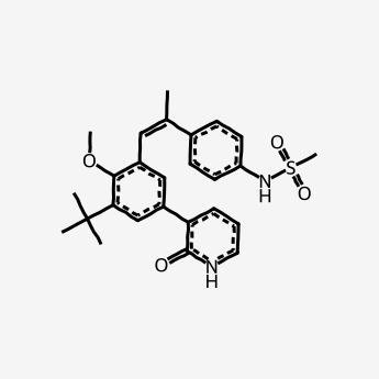 COc1c(C=C(C)c2ccc(NS(C)(=O)=O)cc2)cc(-c2ccc[nH]c2=O)cc1C(C)(C)C